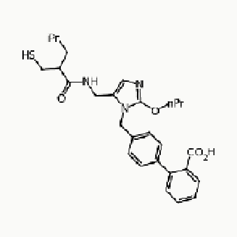 CCCOc1ncc(CNC(=O)C(CS)CC(C)C)n1Cc1ccc(-c2ccccc2C(=O)O)cc1